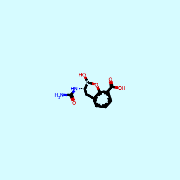 NC(=O)N[C@H]1Cc2cccc(C(=O)O)c2OB1O